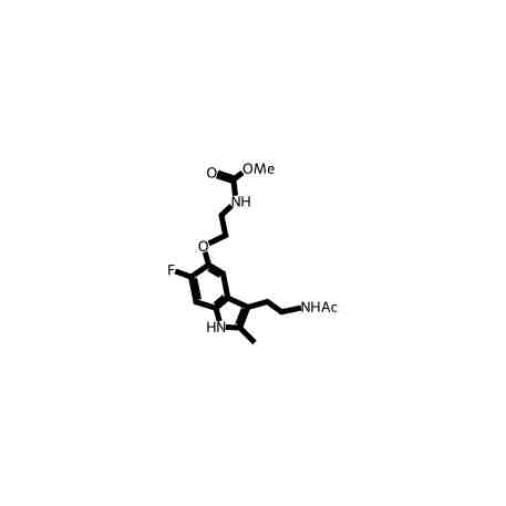 COC(=O)NCCOc1cc2c(CCNC(C)=O)c(C)[nH]c2cc1F